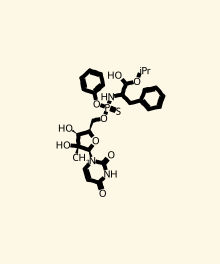 CC(C)OC(O)C(Cc1ccccc1)NP(=S)(OC[C@H]1O[C@@H](n2ccc(=O)[nH]c2=O)[C@](C)(O)[C@@H]1O)Oc1ccccc1